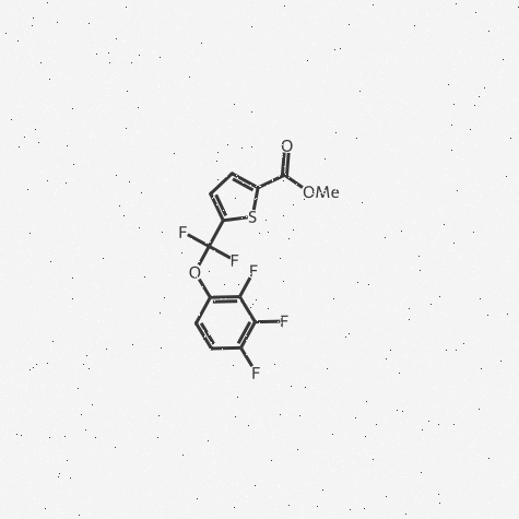 COC(=O)c1ccc(C(F)(F)Oc2ccc(F)c(F)c2F)s1